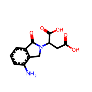 Nc1cccc2c1CN(C(CC(=O)O)C(=O)O)C2=O